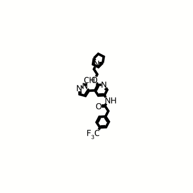 Cn1nccc1-c1cc(NC(=O)Cc2ccc(C(F)(F)F)cc2)cnc1OCCN1C2CCC1CC2